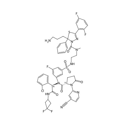 CN(CCNS(=O)(=O)c1cc(F)cc(N(C(=O)[C@@H]2CCC(=O)N2c2cc(C#N)ccn2)[C@@H](C(=O)NC2CC(F)(F)C2)c2ccccc2Cl)c1)C(=O)N1N=C(c2cc(F)ccc2F)SC1(CCCN)c1ccccc1